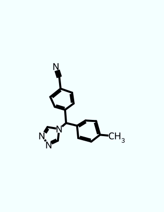 Cc1ccc(C(c2ccc(C#N)cc2)n2cnnc2)cc1